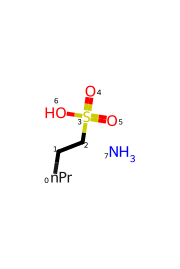 CCCCCS(=O)(=O)O.N